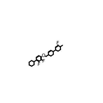 CC1CCC(C2C=CC(COc3ccc(C4CCCCC4)c(F)c3F)CC2)C=C1F